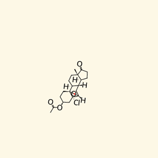 CC(=O)O[C@H]1CC[C@]23CO[C@H](C[C@@H]4[C@@H]2CC[C@]2(C)C(=O)CC[C@@H]42)[C@@]3(Cl)C1